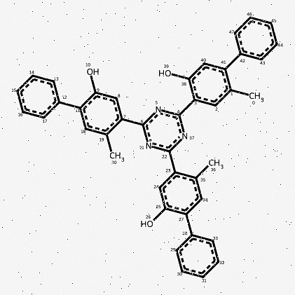 Cc1cc(-c2nc(-c3cc(O)c(-c4ccccc4)cc3C)nc(-c3cc(O)c(-c4ccccc4)cc3C)n2)c(O)cc1-c1ccccc1